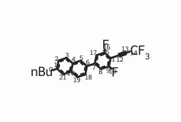 CCCCc1ccc2cc(-c3cc(F)c(C#CC(F)(F)F)c(F)c3)ccc2c1